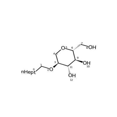 CCCCCCCCO[C@H]1[CH]O[C@H](CO)[C@@H](O)[C@@H]1O